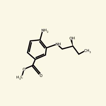 CC[C@H](O)CNc1cc(C(=O)OC)ccc1N